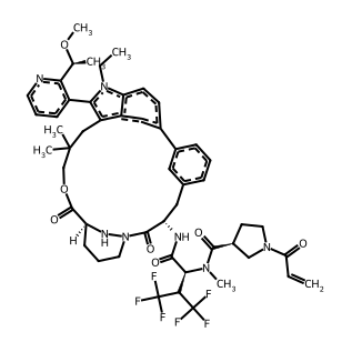 C=CC(=O)N1CC[C@H](C(=O)N(C)[C@H](C(=O)N[C@H]2Cc3cccc(c3)-c3ccc4c(c3)c(c(-c3cccnc3[C@H](C)OC)n4CC)CC(C)(C)COC(=O)[C@@H]3CCCN(N3)C2=O)C(C(F)(F)F)C(F)(F)F)C1